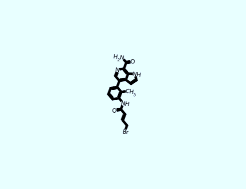 Cc1c(NC(=O)C=CCBr)cccc1-c1cnc(C(N)=O)c2[nH]ccc12